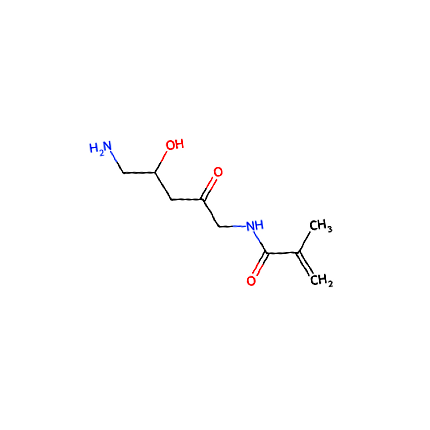 C=C(C)C(=O)NCC(=O)CC(O)CN